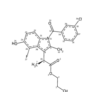 CCCOC(=O)[C@@H](C)c1c(C)n(C(=O)c2cccc(Cl)c2)c2ccc(O)c(F)c12